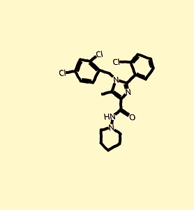 Cc1c(C(=O)NN2CCCCC2)nc(-c2ccccc2Cl)n1Cc1ccc(Cl)cc1Cl